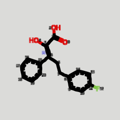 O=C(O)/C(O)=C(\CCc1ccc(F)cc1)c1ccccc1